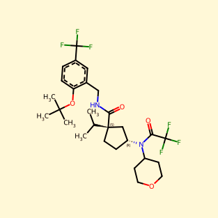 CC(C)[C@]1(C(=O)NCc2cc(C(F)(F)F)ccc2OC(C)(C)C)CC[C@@H](N(C(=O)C(F)(F)F)C2CCOCC2)C1